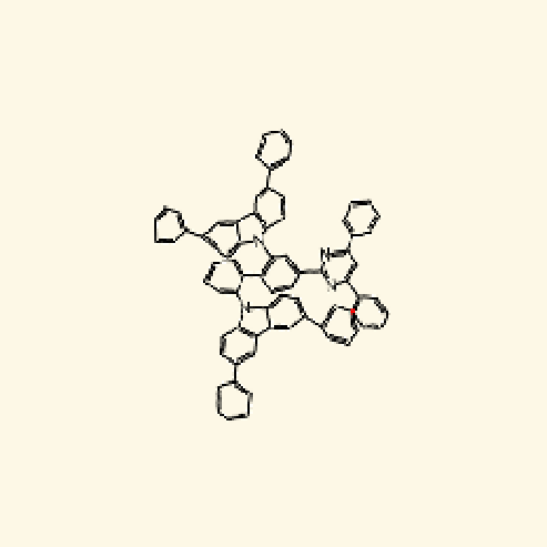 c1ccc(-c2ccc3c(c2)c2cc(-c4ccccc4)ccc2n3-c2ccccc2-c2ccc(-c3nc(-c4ccccc4)cc(-c4ccccc4)n3)cc2-n2c3ccc(-c4ccccc4)cc3c3cc(-c4ccccc4)ccc32)cc1